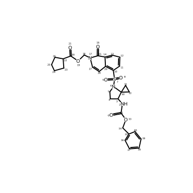 O=C(NC1CCN(S(=O)(=O)c2cccc3c(=O)n(COC(=O)C4CCCC4)ccc23)C12CC2)OCc1ccccc1